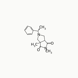 C[C@H](c1ccccc1)N1CC2C(=O)N(C)C(=O)C2(C)C1